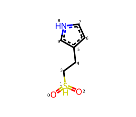 O=[SH](=O)CCc1cc[nH]c1